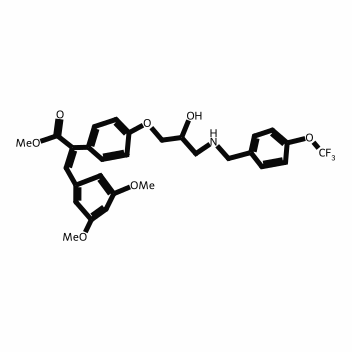 COC(=O)/C(=C/c1cc(OC)cc(OC)c1)c1ccc(OCC(O)CNCc2ccc(OC(F)(F)F)cc2)cc1